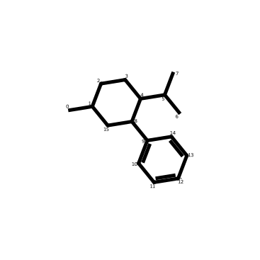 CC1CCC(C(C)C)C(c2cc[c]cc2)C1